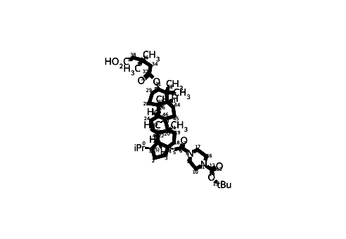 CC(C)[C@@H]1CC[C@]2(CC(=O)N3CCN(C(=O)OC(C)(C)C)CC3)CC[C@]3(C)[C@H](CC[C@@H]4[C@@]5(C)CC[C@H](OC(=O)CC(C)(C)CC(=O)O)C(C)(C)[C@@H]5CC[C@]43C)[C@@H]12